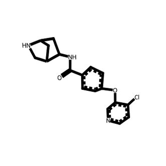 O=C(NC1CC2CC1CN2)c1ccc(Oc2cnccc2Cl)cc1